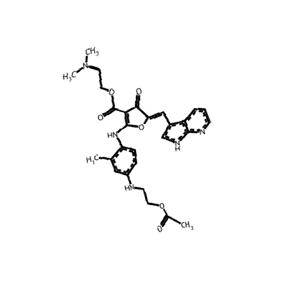 CC(=O)OCCNc1ccc(NC2=C(C(=O)OCCN(C)C)C(=O)C(=Cc3c[nH]c4ncccc34)O2)c(C)c1